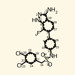 Nc1n[nH]c2c(F)c(-c3ccc(NS(=O)(=O)Cc4ccc(Cl)c(Cl)c4)cc3)ccc12